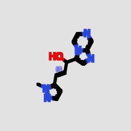 Cn1nccc1/C=C/C(O)c1cnc2cnccn12